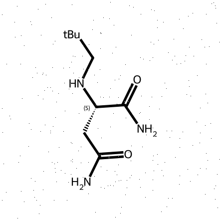 CC(C)(C)CN[C@@H](CC(N)=O)C(N)=O